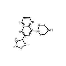 c1cnc2c(N3CCNCC3)cc(C3OCCO3)cc2c1